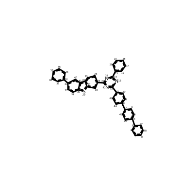 c1ccc(-c2ccc(-c3ccc(-c4nc(-c5ccccc5)nc(-c5ccc6c(c5)sc5ccc(-c7ccccc7)cc56)n4)cc3)cc2)cc1